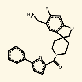 NCc1cc2c(cc1F)OCC21CCN(C(=O)c2ccc(-c3ccccc3)o2)CC1